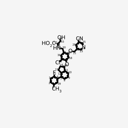 Cc1ccc(F)c(-c2cccc3c2CC[C@@H]3Oc2cc(OCc3cncc(C#N)c3)c(CN[C@@H](CO)C(=O)O)cc2Cl)c1